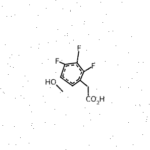 CO.O=C(O)Cc1ccc(F)c(F)c1F